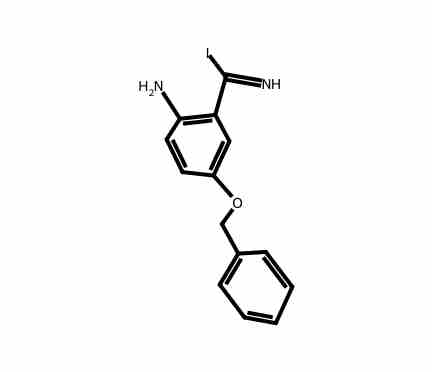 N=C(I)c1cc(OCc2ccccc2)ccc1N